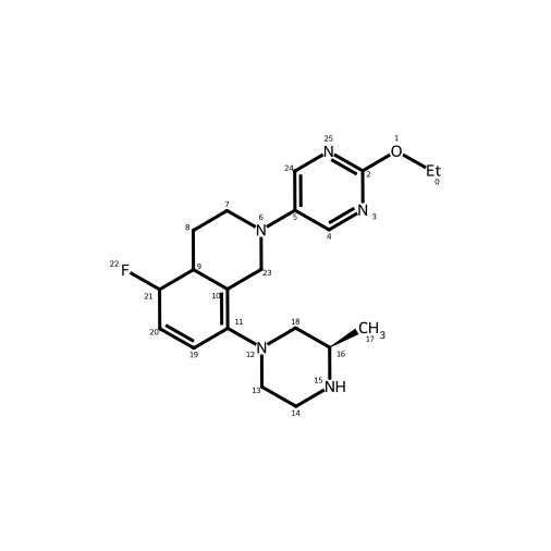 CCOc1ncc(N2CCC3C(=C(N4CCN[C@H](C)C4)C=CC3F)C2)cn1